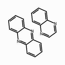 c1ccc2nc3ccccc3nc2c1.c1ccc2nccnc2c1